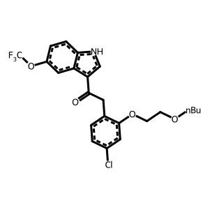 CCCCOCCOc1cc(Cl)ccc1CC(=O)c1c[nH]c2ccc(OC(F)(F)F)cc12